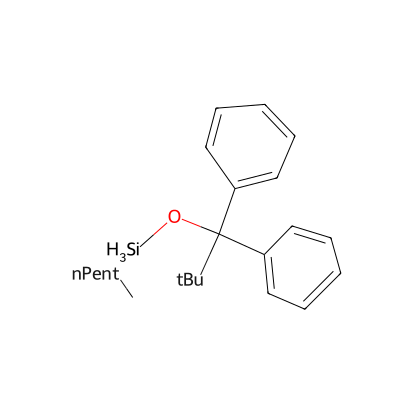 CC(C)(C)C(O[SiH3])(c1ccccc1)c1ccccc1.CCCCCC